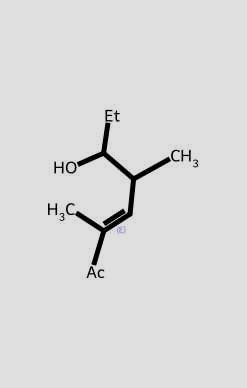 CCC(O)C(C)/C=C(\C)C(C)=O